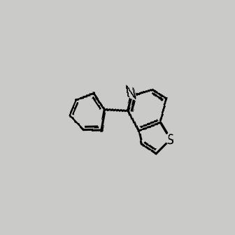 c1ccc(-c2nccc3sccc23)cc1